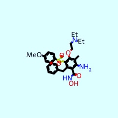 CCN(CC)CCOc1c(C)c(N)c(C(=O)NO)c(Cc2ccccc2)c1S(=O)(=O)c1ccc(OC)cc1